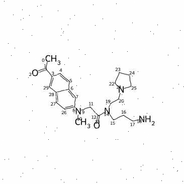 CC(=O)c1ccc2cc(N(C)CC(=O)N(CCCN)CCN3CCCC3)ccc2c1